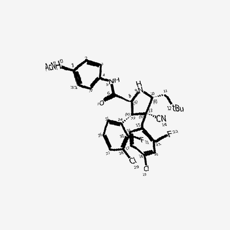 CC(=O)Nc1ccc(NC(=O)[C@H]2N[C@H](CC(C)(C)C)[C@@](C#N)(c3ccc(Cl)cc3F)[C@@H]2c2cccc(Cl)c2F)cc1